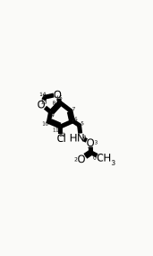 CC(=O)ONCc1cc2c(cc1Cl)OCO2